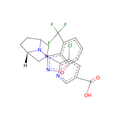 O=C(O)c1cnc(N2CC3CC[C@@H](C2)N3c2noc3cccc(C(F)(F)F)c23)c(Cl)c1